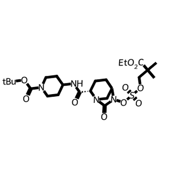 CCOC(=O)C(C)(C)COS(=O)(=O)ON1C(=O)N2CC1CC[C@H]2C(=O)NC1CCN(C(=O)OC(C)(C)C)CC1